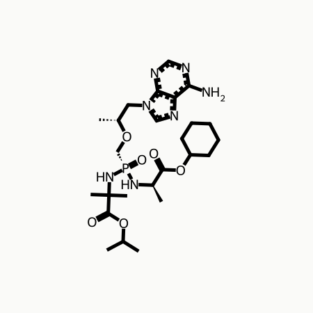 CC(C)OC(=O)C(C)(C)N[P@](=O)(CO[C@H](C)Cn1cnc2c(N)ncnc21)N[C@H](C)C(=O)OC1CCCCC1